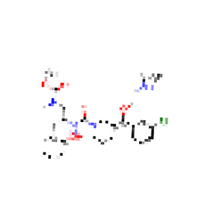 CN(CC(C[C@H]1CCCC[C@@H]1O)NC(=O)N1CCC[C@@H]([C@@H](OCCNC(=O)O)c2cccc(Cl)c2)C1)C(=O)OC(C)(C)C